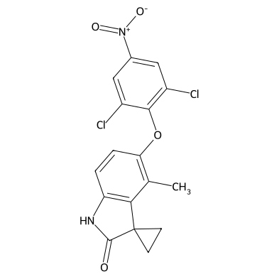 Cc1c(Oc2c(Cl)cc([N+](=O)[O-])cc2Cl)ccc2c1C1(CC1)C(=O)N2